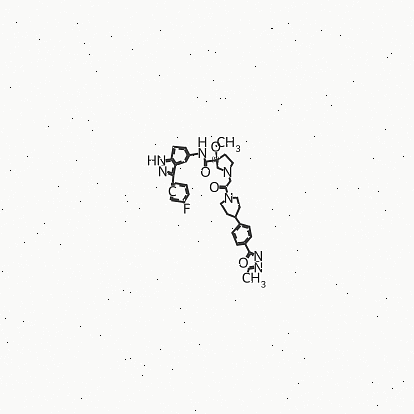 CO[C@@]1(C(=O)Nc2ccc3[nH]nc(-c4ccc(F)cc4)c3c2)CCN(CC(=O)N2CCC(c3ccc(-c4nnc(C)o4)cc3)CC2)C1